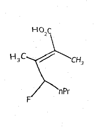 CCCC(F)C(C)=C(C)C(=O)O